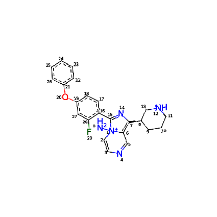 N[N+]12C=CN=CC1=C([C@@H]1CCCNC1)N=C2c1ccc(Oc2ccccc2)cc1F